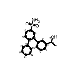 CC(O)c1cccc(-c2cc(S(N)(=O)=O)ccc2-c2ccccc2)c1